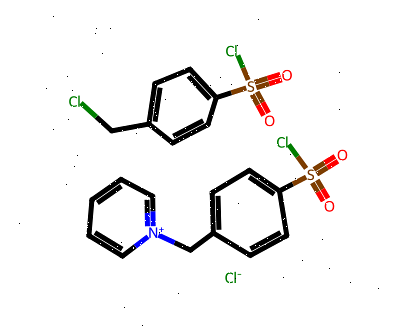 O=S(=O)(Cl)c1ccc(CCl)cc1.O=S(=O)(Cl)c1ccc(C[n+]2ccccc2)cc1.[Cl-]